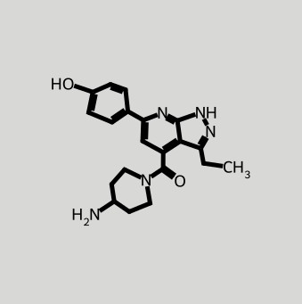 CCc1n[nH]c2nc(-c3ccc(O)cc3)cc(C(=O)N3CCC(N)CC3)c12